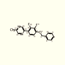 Fc1c(OCc2ccccc2)ccc(-c2cnc(Cl)cn2)c1F